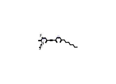 C=C(C#CC(=C)/C=C(/F)C(=C)N=C=S)/C=C\C(=C)CCCCCCC